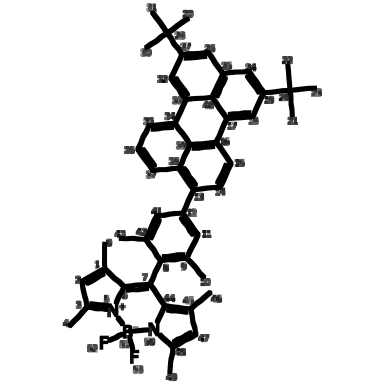 CC1=CC(C)=[N+]2C1=C(c1c(C)cc(-c3ccc4c5cc(C(C)(C)C)cc6cc(C(C)(C)C)cc(c7cccc3c74)c65)cc1C)c1c(C)cc(C)n1[B-]2(F)F